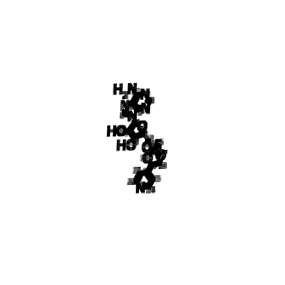 Nc1ncnc2c1ncn2[C@@H]1O[C@H](COP2(=S)OCC(c3ccncc3)O2)[C@@H](O)[C@H]1O